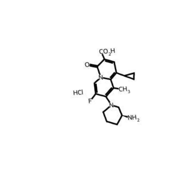 Cc1c(N2CCC[C@H](N)C2)c(F)cn2c(=O)c(C(=O)O)cc(C3CC3)c12.Cl